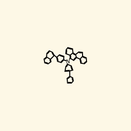 c1ccc(-c2ccc(N(c3ccc(-c4cccc5ccccc45)cc3)c3cc4c5ccccc5ccc4c4ccccc34)cc2)cc1